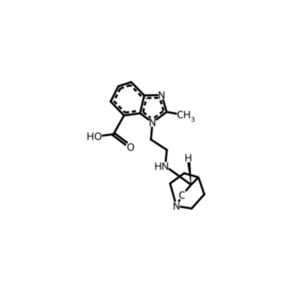 Cc1nc2cccc(C(=O)O)c2n1CCN[C@H]1CN2CCC1CC2